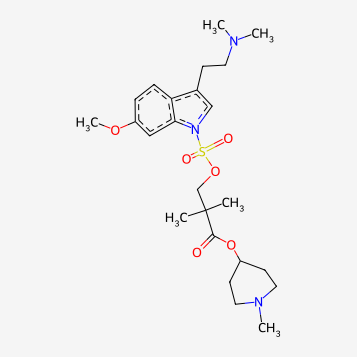 COc1ccc2c(CCN(C)C)cn(S(=O)(=O)OCC(C)(C)C(=O)OC3CCN(C)CC3)c2c1